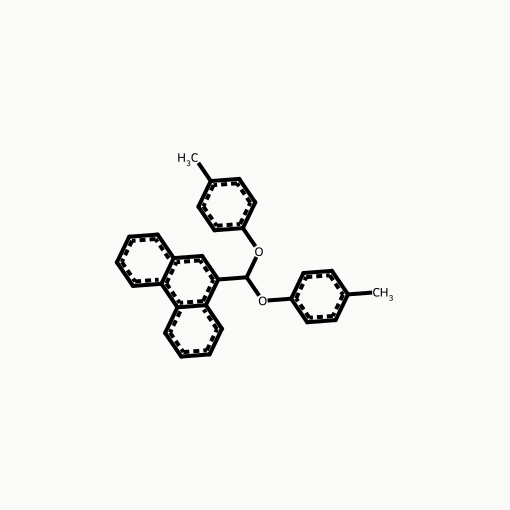 Cc1ccc(OC(Oc2ccc(C)cc2)c2cc3ccccc3c3ccccc23)cc1